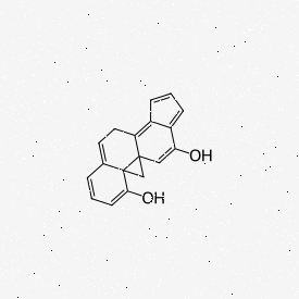 OC1=CC23CC24C(O)=CC=CC4=CCC3=C2C=CC=C12